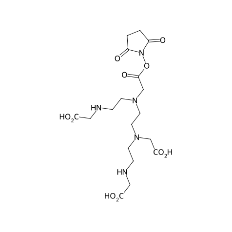 O=C(O)CNCCN(CCN(CCNCC(=O)O)CC(=O)ON1C(=O)CCC1=O)CC(=O)O